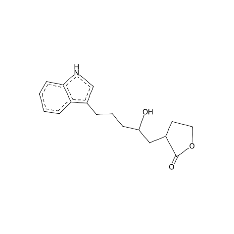 O=C1OCCC1CC(O)CCCc1c[nH]c2ccccc12